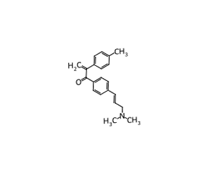 C=C(C(=O)c1ccc(C=CCN(C)C)cc1)c1ccc(C)cc1